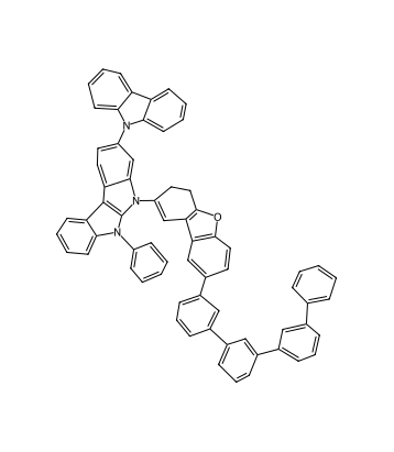 C1=C(n2c3cc(-n4c5ccccc5c5ccccc54)ccc3c3c4ccccc4n(-c4ccccc4)c32)CCc2oc3ccc(-c4cccc(-c5cccc(-c6cccc(-c7ccccc7)c6)c5)c4)cc3c21